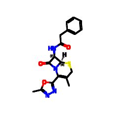 CC1=C(c2nnc(C)o2)N2C(=O)[C@@H](NC(=O)Cc3ccccc3)[C@H]2SC1